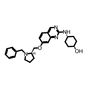 O[C@H]1CC[C@H](Nc2ncc3ccc(OC[C@H]4CCCN4Cc4ccccc4)cc3n2)CC1